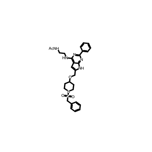 CC(=O)NCCNc1nc(-c2ccccc2)nc2[nH]c(COC3CCN(S(=O)(=O)Cc4ccccc4)CC3)cc12